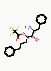 N[C@@H](Cc1ccccc1)[C@@H](O)[C@@H](CCCc1ccccc1)OC(=O)C(F)(F)F